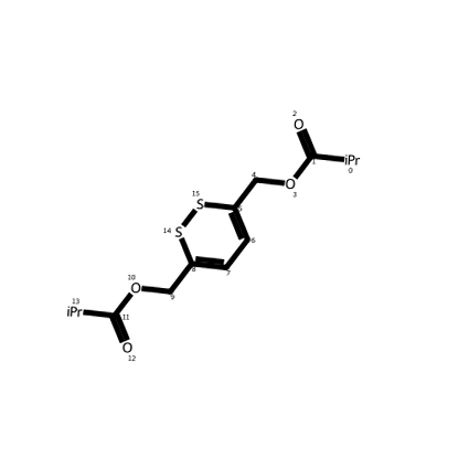 CC(C)C(=O)OCC1=CC=C(COC(=O)C(C)C)SS1